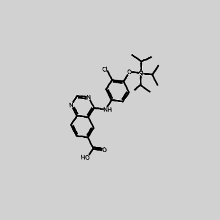 CC(C)[Si](Oc1ccc(Nc2ncnc3ccc(C(=O)O)cc23)cc1Cl)(C(C)C)C(C)C